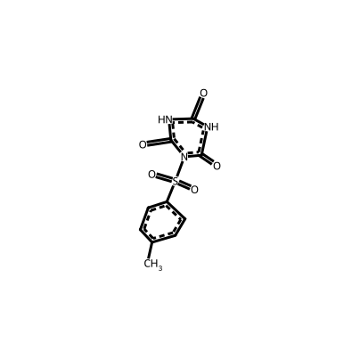 Cc1ccc(S(=O)(=O)n2c(=O)[nH]c(=O)[nH]c2=O)cc1